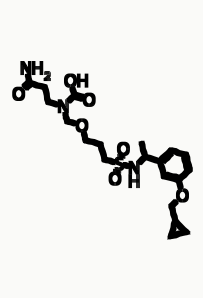 CC(NS(=O)(=O)CCCOCN(CCC(N)=O)C(=O)O)c1cccc(OCC2CC2)c1